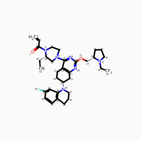 C=CC(=O)N1CCN(c2nc(OC[C@@H]3CCCN3CC(F)(F)F)nc3c2CC[C@@H](N2CCCc4ccc(F)cc42)C3)C[C@@H]1CC#N